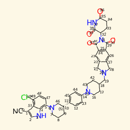 N#Cc1c[nH]c2c(N3CCC[C@@H](c4ccc(N5CCC(CN6Cc7cc8c(cc7C6)C(=O)N(C6CCC(=O)NC6=O)C8=O)CC5)cc4)C3)ccc(Cl)c12